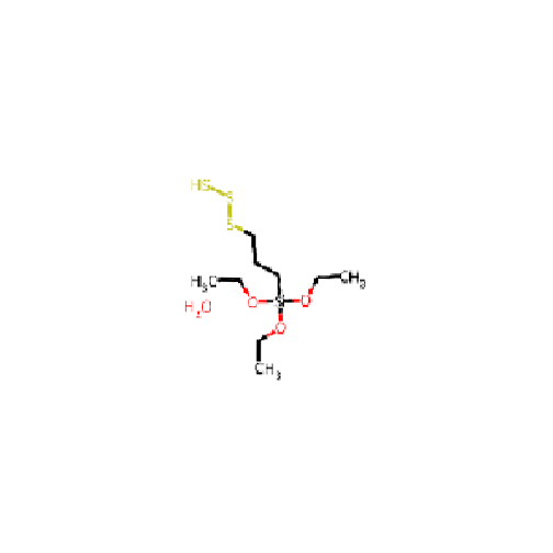 CCO[Si](CCCSSS)(OCC)OCC.O